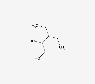 CCC(CC)C(O)CO